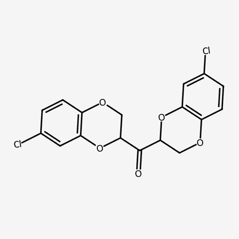 O=C(C1COc2ccc(Cl)cc2O1)C1COc2ccc(Cl)cc2O1